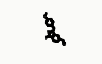 COc1ccc(Cn2nc(I)c3ccc(C=O)cc32)cc1